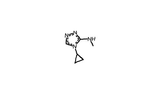 CNc1nncn1C1CC1